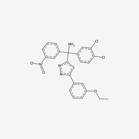 CCOc1cccc(-c2nnc(C(N)(c3cccc([N+](=O)[O-])c3)c3ccc(Cl)c(Cl)c3)s2)c1